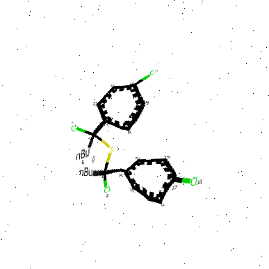 CCCCC(Cl)(SC(Cl)(CCCC)c1ccc(Cl)cc1)c1ccc(Cl)cc1